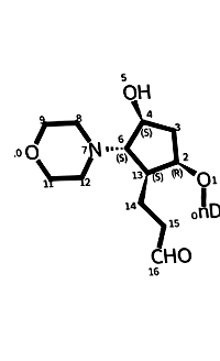 CCCCCCCCCCO[C@@H]1C[C@H](O)[C@@H](N2CCOCC2)[C@@H]1CCC=O